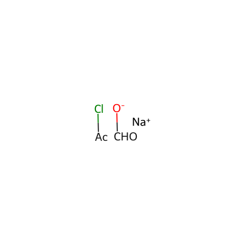 CC(=O)Cl.O=C[O-].[Na+]